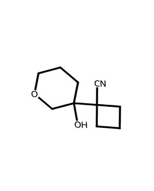 N#CC1(C2(O)CCCOC2)CCC1